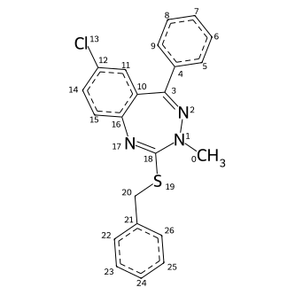 CN1N=C(c2ccccc2)c2cc(Cl)ccc2N=C1SCc1ccccc1